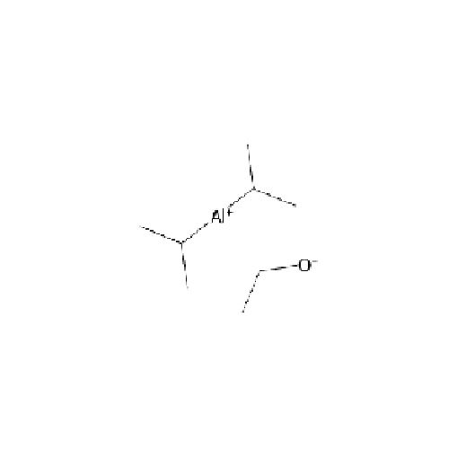 CC[O-].C[CH](C)[Al+][CH](C)C